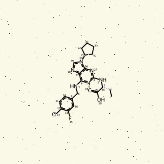 CC[C@@H](Nc1nc(NCc2ccc(Cl)c(F)c2)c2ncn(C3CCCC3)c2n1)C(=O)O